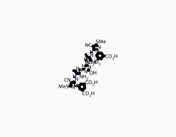 [C-]#[N+]c1c(SC)nn(-c2cc(C(=O)O)cc(C(=O)O)c2)c1/N=N/c1c(C)nn(-c2nc(O)nc(-n3nc(C)c(/N=N/c4c(C#N)c(SC)nn4-c4cc(C(=O)O)cc(C(=O)O)c4)c3N)n2)c1N